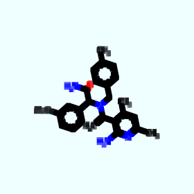 C=C(c1c(C)cc(C)nc1N)N(Cc1ccc(C)cc1)C(C(N)=O)c1cccc(OC)c1